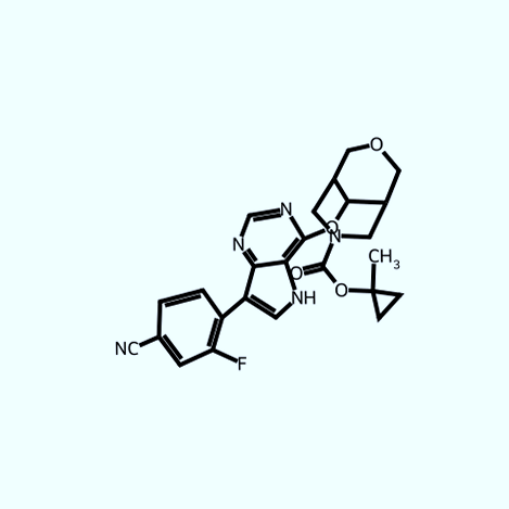 CC1(OC(=O)N2CC3COCC(C2)C3Oc2ncnc3c(-c4ccc(C#N)cc4F)c[nH]c23)CC1